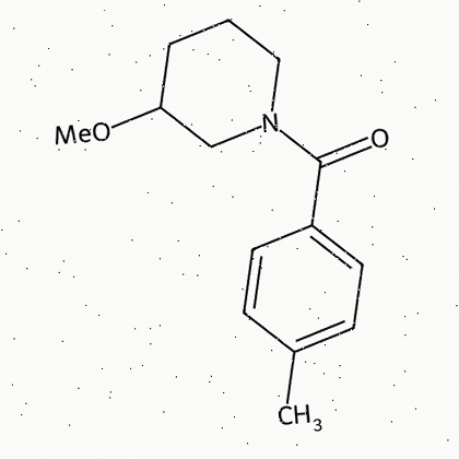 COC1CCCN(C(=O)c2ccc(C)cc2)C1